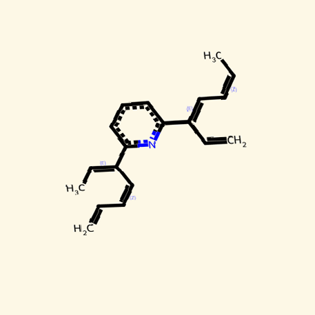 C=C/C=C\C(=C/C)c1cccc(/C(C=C)=C/C=C\C)n1